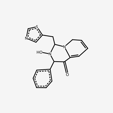 O=C1C2=CC=CCN2C(Cc2cncs2)N(O)C1c1ccccc1